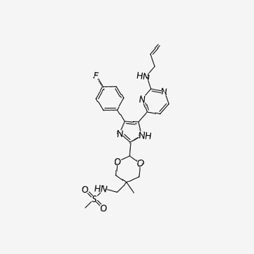 C=CCNc1nccc(-c2[nH]c(C3OCC(C)(CNS(C)(=O)=O)CO3)nc2-c2ccc(F)cc2)n1